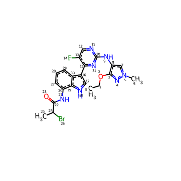 CCOc1nn(C)cc1Nc1ncc(F)c(-c2c[nH]c3c(NC(=O)C(C)Br)cccc23)n1